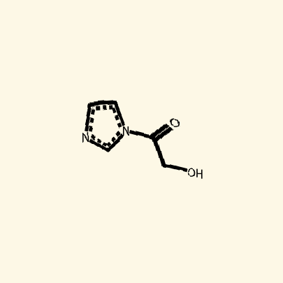 O=C(CO)n1ccnc1